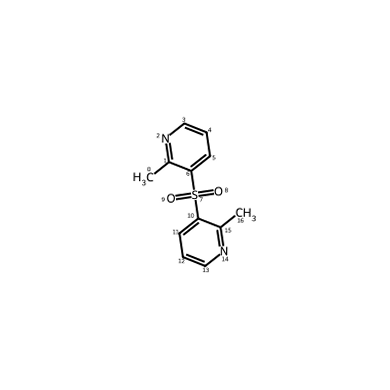 Cc1ncccc1S(=O)(=O)c1cccnc1C